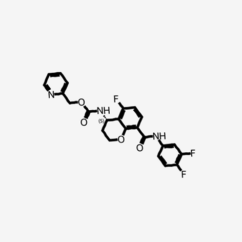 O=C(N[C@H]1CCOc2c(C(=O)Nc3ccc(F)c(F)c3)ccc(F)c21)OCc1ccccn1